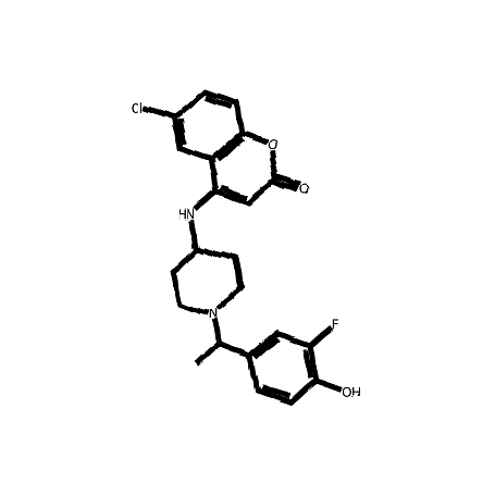 CC(c1ccc(O)c(F)c1)N1CCC(Nc2cc(=O)oc3ccc(Cl)cc23)CC1